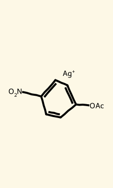 CC(=O)Oc1ccc([N+](=O)[O-])cc1.[Ag+]